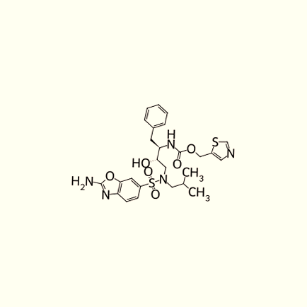 CC(C)CN(C[C@H](O)[C@@H](Cc1ccccc1)NC(=O)OCc1cncs1)S(=O)(=O)c1ccc2nc(N)oc2c1